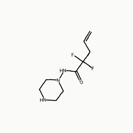 C=CCC(F)(F)C(=O)NN1CCNCC1